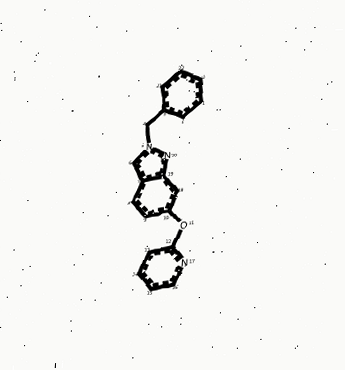 c1ccc(Cn2cc3ccc(Oc4ccccn4)cc3n2)cc1